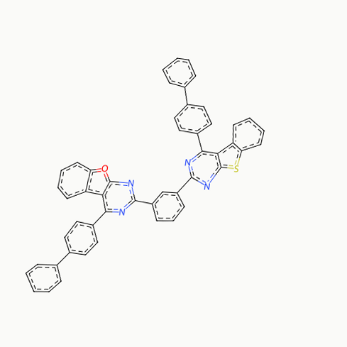 c1ccc(-c2ccc(-c3nc(-c4cccc(-c5nc(-c6ccc(-c7ccccc7)cc6)c6c(n5)sc5ccccc56)c4)nc4oc5ccccc5c34)cc2)cc1